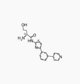 N[C@@H](CCO)C(=O)Nc1nc(-c2cccc(-c3ccncc3)c2)cs1